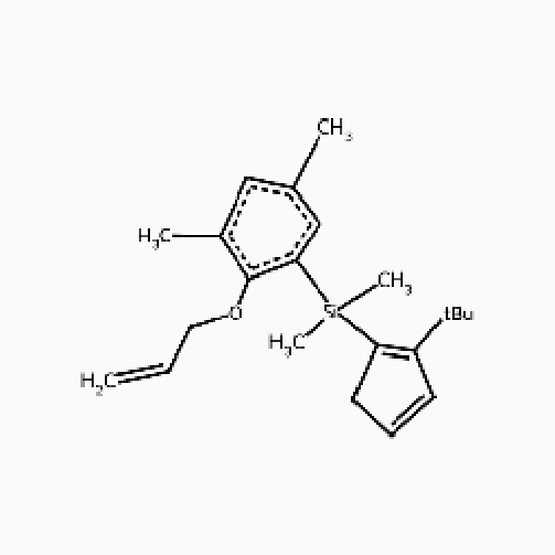 C=CCOc1c(C)cc(C)cc1[Si](C)(C)C1=C(C(C)(C)C)C=CC1